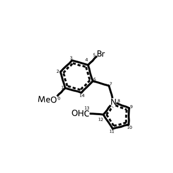 COc1ccc(Br)c(Cn2cccc2C=O)c1